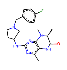 Cc1nc(NC2CCN(Cc3ccc(F)cc3)C2)nc2c1NC(=O)[C@H](C)N2C